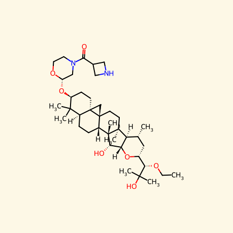 CCO[C@@H]([C@H]1C[C@@H](C)[C@H]2[C@H](O1)[C@H](O)[C@]1(C)[C@@H]3CC[C@H]4C(C)(C)[C@@H](O[C@H]5CN(C(=O)C6CNC6)CCO5)CC[C@@]45C[C@@]35CC[C@@]21C)C(C)(C)O